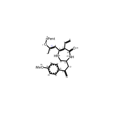 C=CC1=C(/C=C(\C)OCCCCC)NCC(CC(=C)c2ccc(OC)cc2)NC1=O